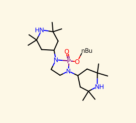 CCCCOP1(=O)N(C2CC(C)(C)NC(C)(C)C2)CCN1C1CC(C)(C)NC(C)(C)C1